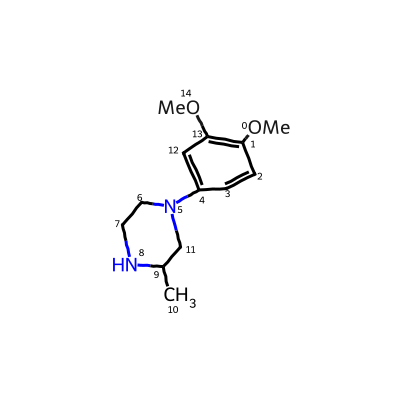 COc1ccc(N2CCNC(C)C2)cc1OC